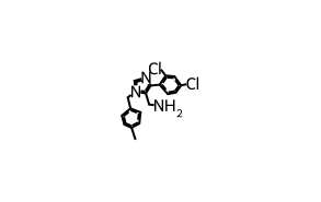 Cc1ccc(Cn2cnc(-c3ccc(Cl)cc3Cl)c2CN)cc1